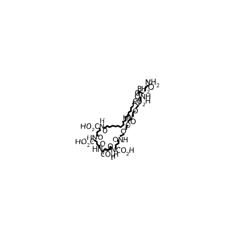 BC(=O)[C@H](CCC(N)=O)NC(=O)COCCOCCNC(=O)COCCOCCNC(=O)CC[C@@H](NC(=O)CC[C@H](NC(=O)CC[C@@H](NC(=O)CC[C@H](NC(=O)CCCCCCCCCCCCCCCCC(=O)O)C(=O)O)C(=O)O)C(=O)O)C(=O)O